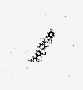 C[C@H]1CN(c2ncc([C@H](O)CO)cc2Cl)CCN1C(=O)Nc1nc2ccc(F)cc2s1